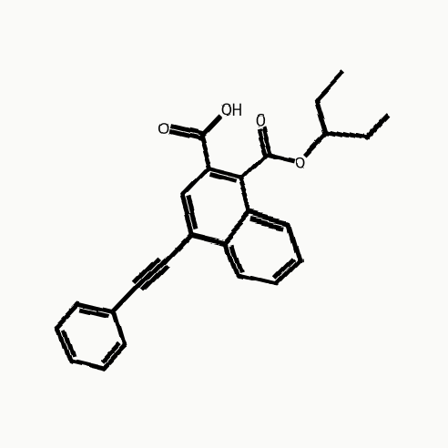 CCC(CC)OC(=O)c1c(C(=O)O)cc(C#Cc2ccccc2)c2ccccc12